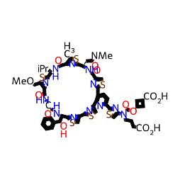 CNC(=O)C[C@@H]1NC(=O)c2csc(n2)-c2ccc(-c3nc(N(CCCC(=O)O)C(=O)O[C@H]4C[C@H](C(=O)O)C4)cs3)nc2-c2csc(n2)-c2csc(n2)[C@H]([C@@H](O)c2ccccc2)NC(=O)CNC(=O)c2nc(sc2COC)C(C(C)C)NC(=O)c2nc1sc2C